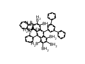 Bc1c(B)c(B)c2c(-c3ccccc3-n3c(CC)nc4ccccc43)c3c(B)c(B)c(B)c(B)c3c(-c3cc(-c4ccccc4)cc(-c4ccccc4)c3)c2c1B